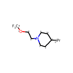 CC(C)C1CCN(CCOC(F)(F)F)CC1